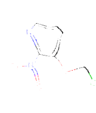 O=[N+]([O-])c1ncccc1OCCl